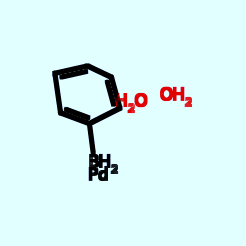 Bc1ccccc1.O.O.[Pd]